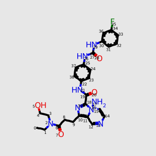 CCN(CCO)C(=O)CCC1=C2C=NC=C[N+]2(N)C(C(=O)Nc2ccc(NC(=O)Nc3cccc(F)c3)cc2)=N1